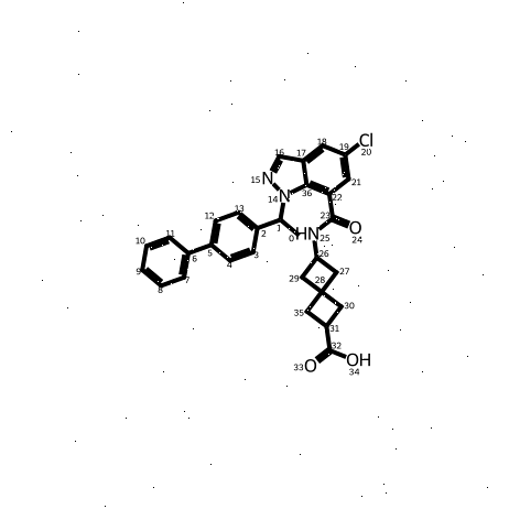 CC(c1ccc(-c2ccccc2)cc1)n1ncc2cc(Cl)cc(C(=O)NC3CC4(C3)CC(C(=O)O)C4)c21